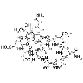 CC[C@H](C)[C@H](NC(=O)[C@H](CC(=O)O)NC(=O)[C@H](CCC(=O)O)NC(=O)[C@@H](NC(=O)[C@H](CCCCN)NC(=O)[C@@H]1CCCN1C(=O)[C@H](CCC(=O)O)NC(=O)[C@H](CCC(N)=O)NC(=O)[C@H](CC(C)C)NC(=O)[C@@H](N)C(C)C)[C@@H](C)O)C(=O)O